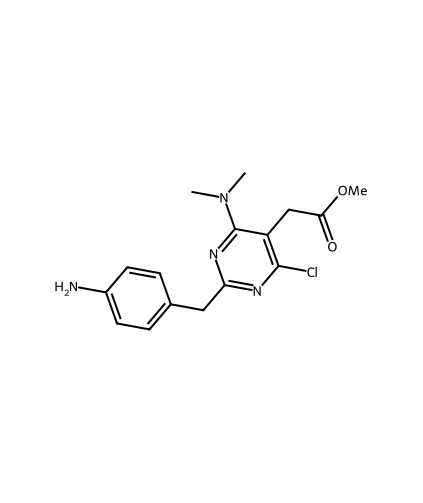 COC(=O)Cc1c(Cl)nc(Cc2ccc(N)cc2)nc1N(C)C